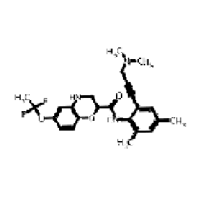 Cc1cc(C)c(NC(=O)C2CNc3cc(OC(C)(F)F)ccc3O2)c(C#CCN(C)C)c1